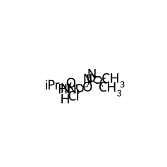 Cc1cc2ncnc(Oc3ccc(NC(=O)NCC(C)C)c(Cl)c3)c2cc1C